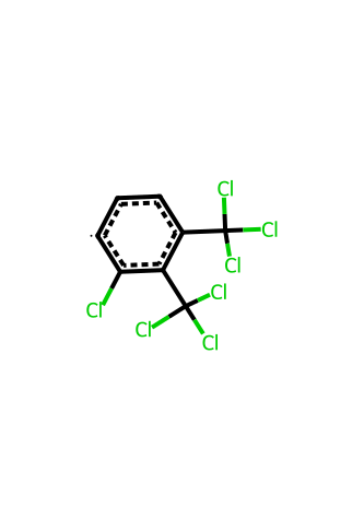 Clc1[c]ccc(C(Cl)(Cl)Cl)c1C(Cl)(Cl)Cl